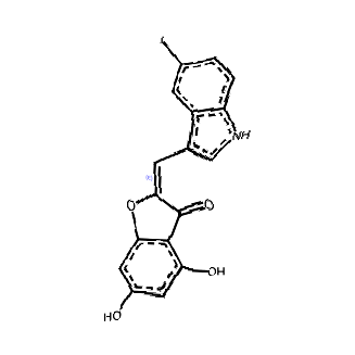 O=C1/C(=C\c2c[nH]c3ccc(I)cc23)Oc2cc(O)cc(O)c21